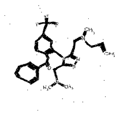 C=CCN(C)Cc1nnc(CN(C)C)n1-c1cc(C(F)(F)F)ccc1C(=O)c1ccccc1